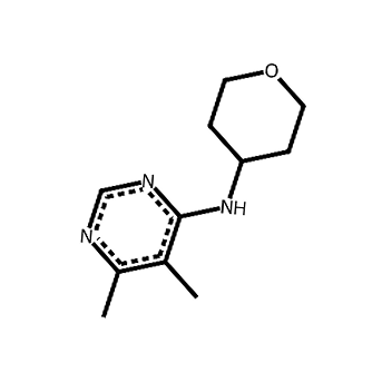 Cc1ncnc(NC2CCOCC2)c1C